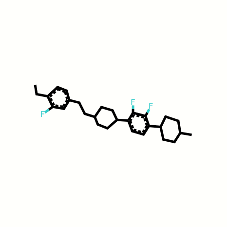 CCc1ccc(CCC2CCC(c3ccc(C4CCC(C)CC4)c(F)c3F)CC2)cc1F